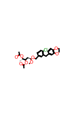 CO[C@@H](CC(OC(C)=O)[C@H](C)OC(C)=O)OCc1ccc(Cl)c(Cc2ccc3c(c2)OCCO3)c1